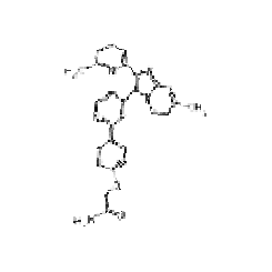 Cc1ccn2c(-c3ccnc(-c4ccc(OCC(N)=O)cc4)c3)c(-c3cccc(C)n3)nc2c1